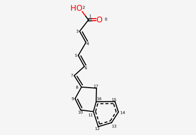 O=C(O)C=CC=CC=C1C=Cc2ccccc2C1